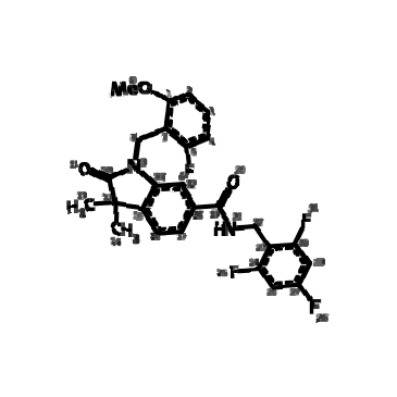 COc1cccc(F)c1CN1C(=O)C(C)(C)c2ccc(C(=O)NCc3c(F)cc(F)cc3F)cc21